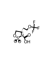 O=C(O)N1[C@@H](CCOC(F)(F)F)COS1(=O)=O